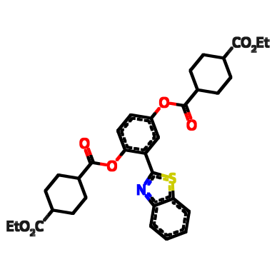 CCOC(=O)C1CCC(C(=O)Oc2ccc(OC(=O)C3CCC(C(=O)OCC)CC3)c(-c3nc4ccccc4s3)c2)CC1